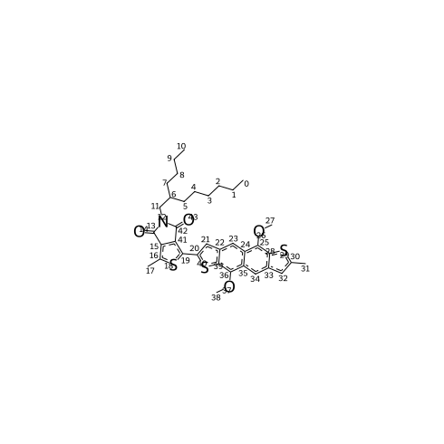 CCCCCCC(CCCC)CN1C(=O)c2c(C)sc(-c3cc4cc5c(OC)c6sc(C)cc6cc5c(OC)c4s3)c2C1=O